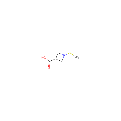 CSN1CC(C(=O)O)C1